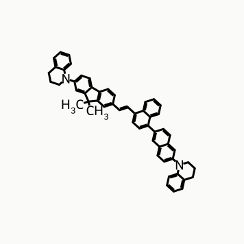 CC1(C)c2cc(/C=C/c3ccc(-c4ccc5cc(N6CCCc7ccccc76)ccc5c4)c4ccccc34)ccc2-c2ccc(N3CCCc4ccccc43)cc21